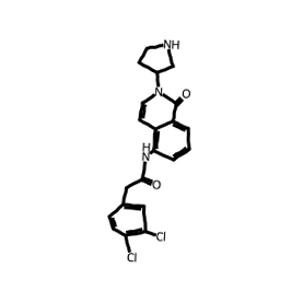 O=C(Cc1ccc(Cl)c(Cl)c1)Nc1cccc2c(=O)n(C3CCNC3)ccc12